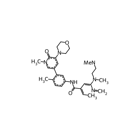 C=N/C(=C\C(=C/C)C(=O)Nc1ccc(C)c(-c2cc(N3CCOCC3)c(=O)n(C)c2)c1)N(C)CCNC